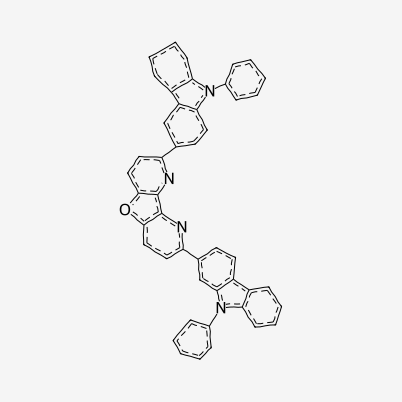 c1ccc(-n2c3ccccc3c3cc(-c4ccc5oc6ccc(-c7ccc8c9ccccc9n(-c9ccccc9)c8c7)nc6c5n4)ccc32)cc1